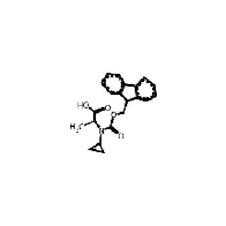 C[C@@H](C(=O)O)N(C(=O)OCC1c2ccccc2-c2ccccc21)C1CC1